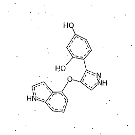 Oc1ccc(-c2n[nH]cc2Oc2cccc3[nH]ccc23)c(O)c1